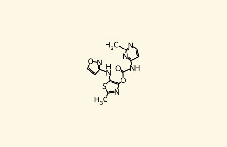 Cc1nccc(NC(=O)Oc2nc(C)sc2Nc2ccon2)n1